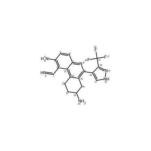 N=Cc1c(N)ccc2nc(-c3c[nH]nc3C(F)(F)F)c3c(c12)CCC(N)C3